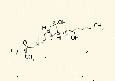 CCCCC[C@H](O)/C=C/[C@@H]1[C@H]2CC(=CNCC(=O)N(C)C)C[C@H]2C[C@H]1O